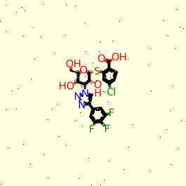 O=C(O)c1ccc(Cl)cc1S[C@H]1O[C@H](CO)[C@H](O)[C@H](n2cc(-c3cc(F)c(F)c(F)c3)nn2)[C@H]1O